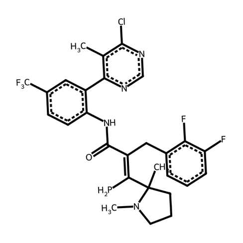 Cc1c(Cl)ncnc1-c1cc(C(F)(F)F)ccc1NC(=O)/C(Cc1cccc(F)c1F)=C(\P)C1(C)CCCN1C